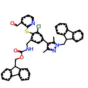 Cc1nn(CC2c3ccccc3-c3ccccc32)c(C)c1-c1cc(Cl)c(Sc2ncccc2C=O)c(CNC(=O)OCC2c3ccccc3-c3ccccc32)c1